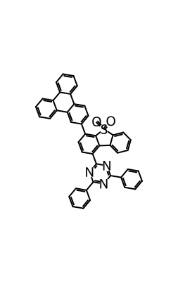 O=S1(=O)c2ccccc2-c2c(-c3nc(-c4ccccc4)nc(-c4ccccc4)n3)ccc(-c3ccc4c5ccccc5c5ccccc5c4c3)c21